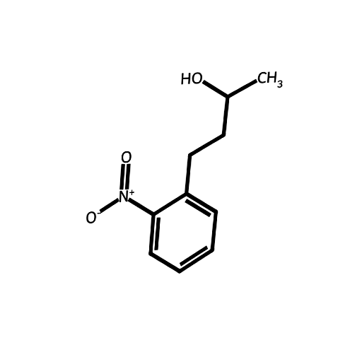 CC(O)CCc1ccccc1[N+](=O)[O-]